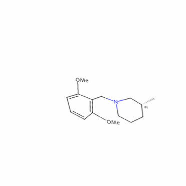 COc1cccc(OC)c1CN1CCC[C@@H](C)C1